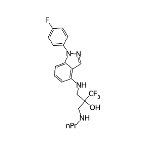 CCCNCC(O)(CNc1cccc2c1cnn2-c1ccc(F)cc1)C(F)(F)F